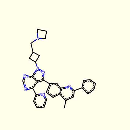 Cc1cc(-c2ccccc2)nc2cc(-c3nn(C4CC(CN5CCC5)C4)c4ncnc(-c5ccccn5)c34)ccc12